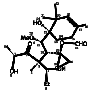 CC[C@H](O)[C@@](C)(C(=O)[C@@H](C)O)[C@H]([C@H](OC)[C@]1(O)CCC(C)=CC1(C)C)[C@]1(OC=O)CO1